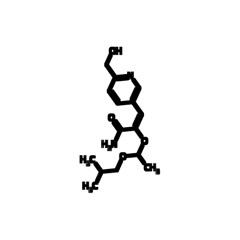 CC(C)COC(C)O/C(=C/c1ccc(CO)nc1)C(N)=O